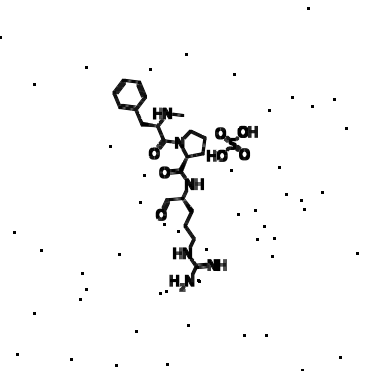 CN[C@H](Cc1ccccc1)C(=O)N1CCC[C@H]1C(=O)N[C@H](C=O)CCCNC(=N)N.O=S(=O)(O)O